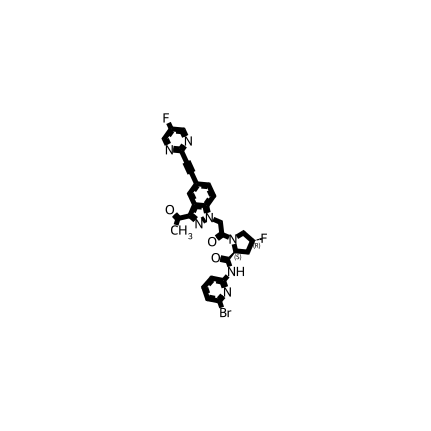 CC(=O)c1nn(CC(=O)N2C[C@H](F)C[C@H]2C(=O)Nc2cccc(Br)n2)c2ccc(C#Cc3ncc(F)cn3)cc12